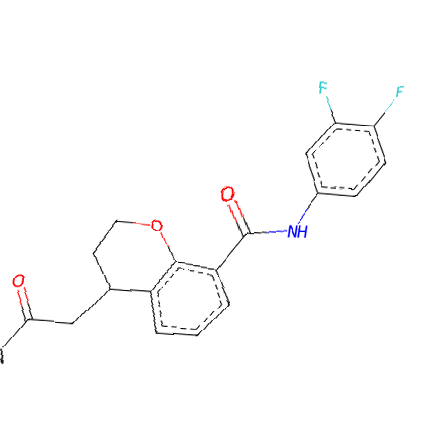 CNC(=O)CC1CCOc2c(C(=O)Nc3ccc(F)c(F)c3)cccc21